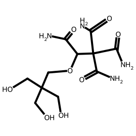 NC(=O)C(OCC(CO)(CO)CO)C(C(N)=O)(C(N)=O)C(N)=O